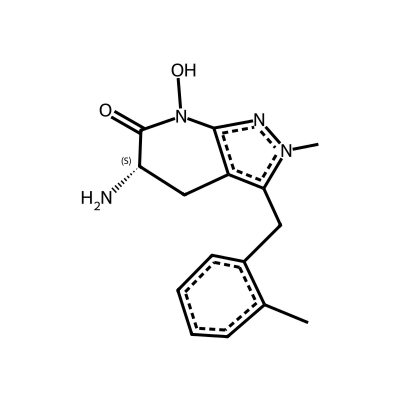 Cc1ccccc1Cc1c2c(nn1C)N(O)C(=O)[C@@H](N)C2